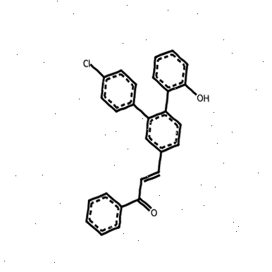 O=C(C=Cc1ccc(-c2ccccc2O)c(-c2ccc(Cl)cc2)c1)c1ccccc1